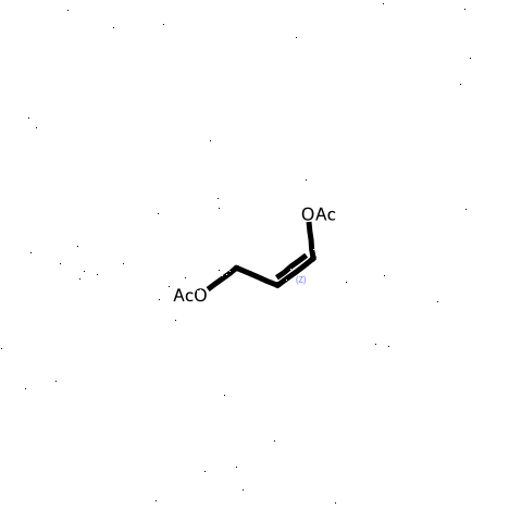 CC(=O)O/C=C\COC(C)=O